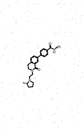 CC(C)NC(=O)c1ccc(-c2ccc3c(c2)C(=O)N(CCN2CCC[C@H]2C)CC3)cc1